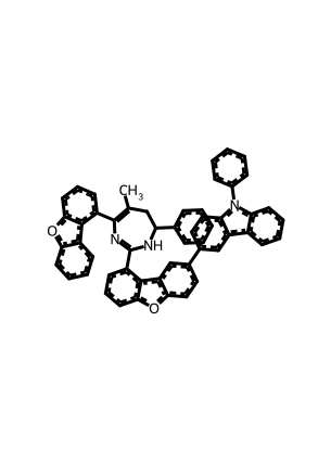 CC1=C(c2cccc3oc4ccccc4c23)N=C(c2cccc3oc4ccc(-c5ccc6c(c5)c5ccccc5n6-c5ccccc5)cc4c23)NC(c2ccccc2)C1